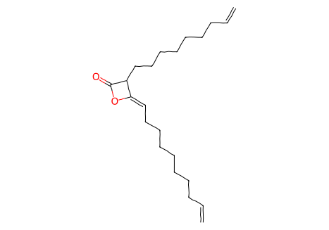 C=CCCCCCCCC=C1OC(=O)C1CCCCCCCC=C